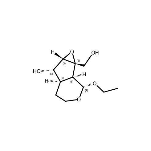 CCO[C@@H]1OCC[C@H]2[C@H](O)[C@@H]3O[C@]3(CO)[C@@H]12